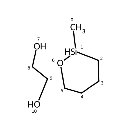 C[SiH]1CCCCO1.OCCO